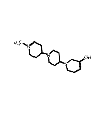 CN1CCC(N2CCC(N3CCCC(O)C3)CC2)CC1